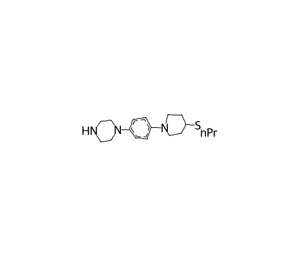 CCCSC1CCN(c2ccc(N3CCNCC3)cc2)CC1